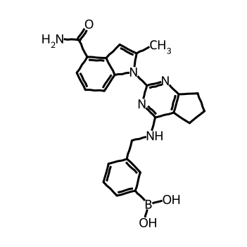 Cc1cc2c(C(N)=O)cccc2n1-c1nc2c(c(NCc3cccc(B(O)O)c3)n1)CCC2